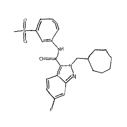 CS(=O)(=O)c1cccc(NC(=O)c2c3ccc(F)cc3nn2CC2CCCCCC2)c1